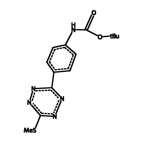 CSc1nnc(-c2ccc(NC(=O)OC(C)(C)C)cc2)nn1